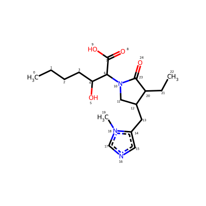 CCCCC(O)C(C(=O)O)N1CC(Cc2cncn2C)C(CC)C1=O